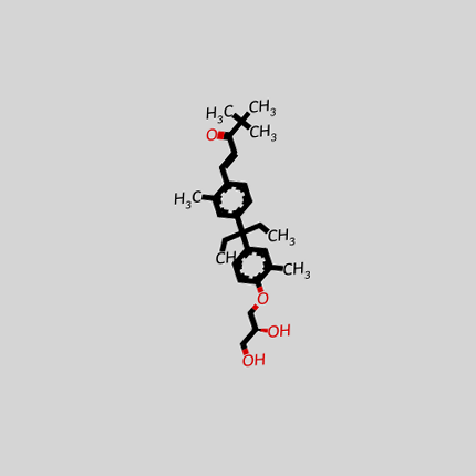 CCC(CC)(c1ccc(C=CC(=O)C(C)(C)C)c(C)c1)c1ccc(OC[C@@H](O)CO)c(C)c1